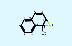 CCC12SC1C=Cc1ccccc12